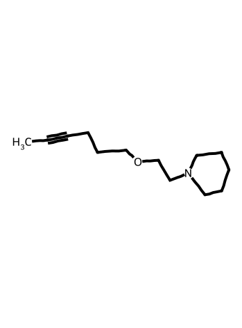 CC#CCCCOCCN1CCCCC1